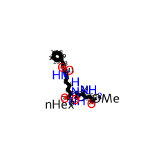 CCCCCCNC(=O)C(CCCCNC(=O)OCc1ccccc1)NC(=O)C(N)CCC(=O)OC